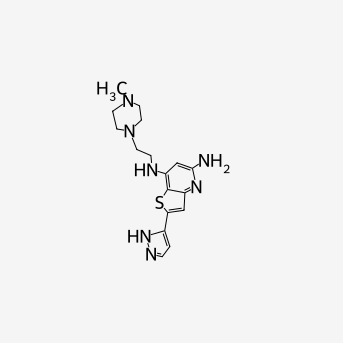 CN1CCN(CCNc2cc(N)nc3cc(-c4ccn[nH]4)sc23)CC1